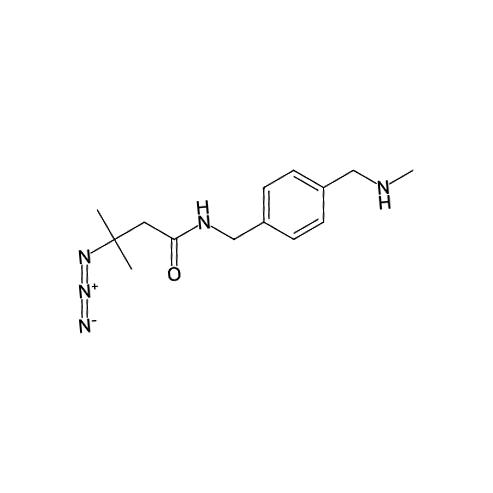 CNCc1ccc(CNC(=O)CC(C)(C)N=[N+]=[N-])cc1